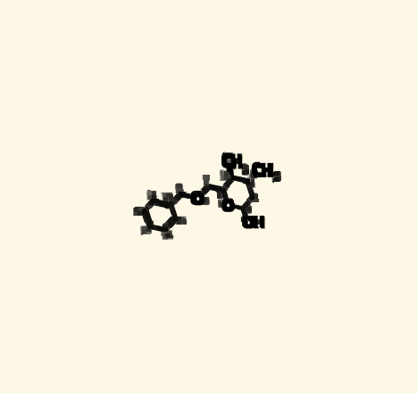 C[C@@H]1CC(O)OC(COCc2ccccc2)[C@H]1C